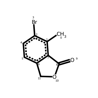 Cc1c(Br)ccc2c1C(=O)OC2